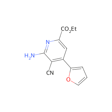 CCOC(=O)c1cc(-c2ccco2)c(C#N)c(N)n1